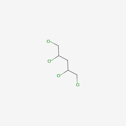 ClCC(Cl)CC(Cl)CCl